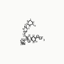 Cc1cccc(CN2CC3C(C2)C3CN(Cc2cccc(OC(F)(F)F)c2)C(=O)c2cscn2)c1